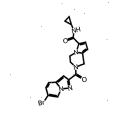 O=C(NC1CC1)c1ccc2n1CCN(C(=O)c1cc3ccc(Br)cn3n1)C2